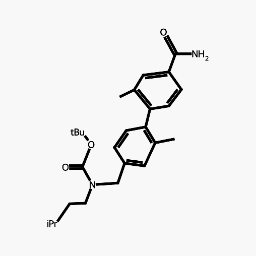 Cc1cc(CN(CCC(C)C)C(=O)OC(C)(C)C)ccc1-c1ccc(C(N)=O)cc1C